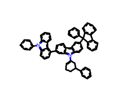 C1=C(n2c3ccc(C4(c5ccccc5)c5ccccc5-c5ccccc54)cc3c3ccc(-c4cccc5c4c4ccccc4n5-c4ccccc4)cc32)CC(c2ccccc2)CC1